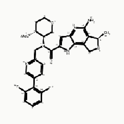 CO[C@@H]1CCOC[C@H]1N(Cc1ccc(-c2c(F)cccc2F)cn1)C(=O)c1cc2nc(N)c3c(c2[nH]1)CO[C@@H]3C